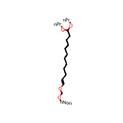 CCCCCCCCCOCOC=CCCCCCCCCCC(OCCC)OCCC